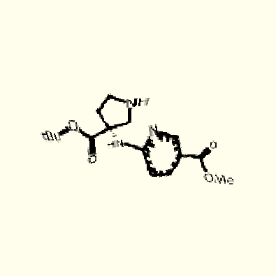 COC(=O)c1ccc(N[C@]2(C(=O)OC(C)(C)C)CCNC2)nc1